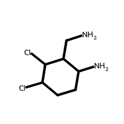 NCC1C(N)CCC(Cl)C1Cl